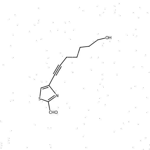 O=Cc1nc(C#CCCCCCO)cs1